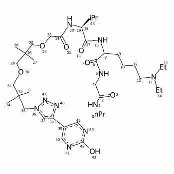 CCCNC(=O)CNC(=O)C(CCCCN(CC)CC)NC(=O)[C@@H](NC(=O)COCC(C)(C)COCC(C)(C)Cn1cc(-c2cnc(O)nc2)nn1)C(C)C